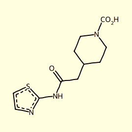 O=C(CC1CCN(C(=O)O)CC1)Nc1nccs1